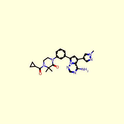 Cn1cc(-c2cc(-c3cccc(N4CCN(C(=O)C5CC5)C(C)(C)C4=O)c3)n3ncnc(N)c23)cn1